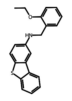 CCOc1ccccc1CNc1ccc2sc3ccccc3c2c1